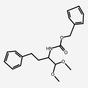 COC(OC)C(CCc1ccccc1)NC(=O)OCc1ccccc1